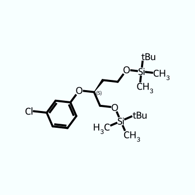 CC(C)(C)[Si](C)(C)OCC[C@@H](CO[Si](C)(C)C(C)(C)C)Oc1cccc(Cl)c1